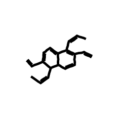 C=CC1=CC=C2C(/C=C\C)=C(C=C)C=CC2C1/C=C\C